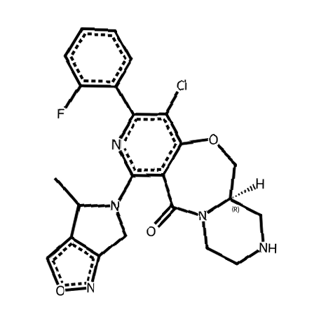 CC1c2conc2CN1c1nc(-c2ccccc2F)c(Cl)c2c1C(=O)N1CCNC[C@@H]1CO2